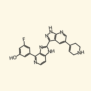 Oc1cc(F)cc(-c2nccc3[nH]c(-c4n[nH]c5ncc(C6=CCNCC6)cc45)nc23)c1